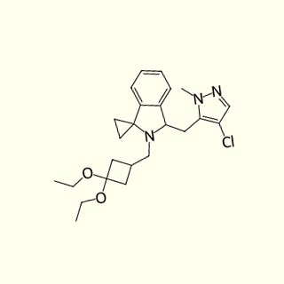 CCOC1(OCC)CC(CN2C(Cc3c(Cl)cnn3C)c3ccccc3C23CC3)C1